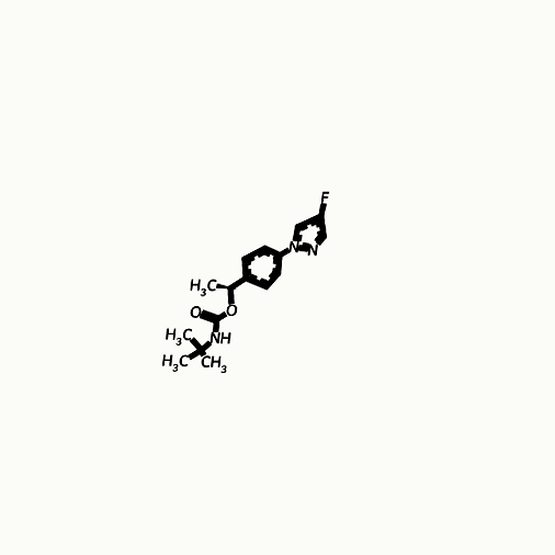 C[C@H](OC(=O)NC(C)(C)C)c1ccc(-n2cc(F)cn2)cc1